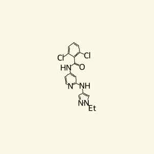 CCn1cc(Nc2cc(NC(=O)c3c(Cl)cccc3Cl)ccn2)cn1